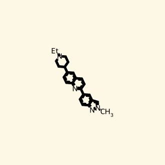 CCN1CCC(c2ccc3nc(-c4ccc5nn(C)cc5c4)ccc3c2)CC1